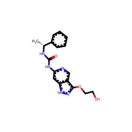 C[C@@H](NC(=O)Nc1cc2[nH]nc(OCCO)c2cn1)c1ccccc1